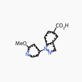 COc1cc(-n2ncc3cc(C(=O)O)ccc32)ccn1